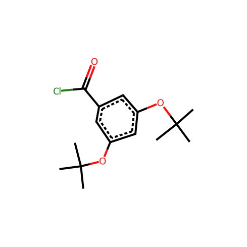 CC(C)(C)Oc1cc(OC(C)(C)C)cc(C(=O)Cl)c1